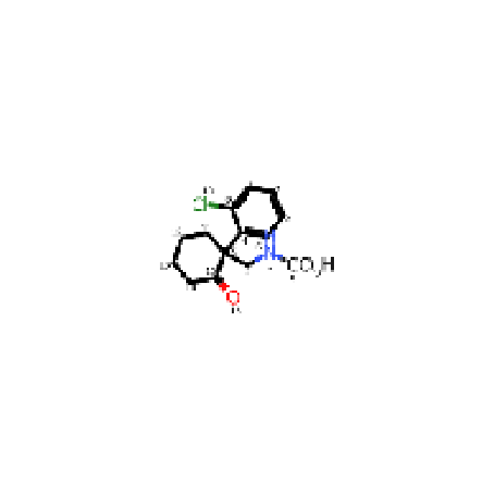 O=C(O)NCC1(c2ccccc2Cl)CCCCC1=O